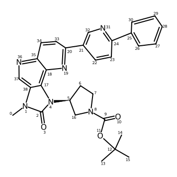 Cn1c(=O)n([C@H]2CCN(C(=O)OC(C)(C)C)C2)c2c3nc(-c4ccc(-c5ccccc5)nc4)ccc3ncc21